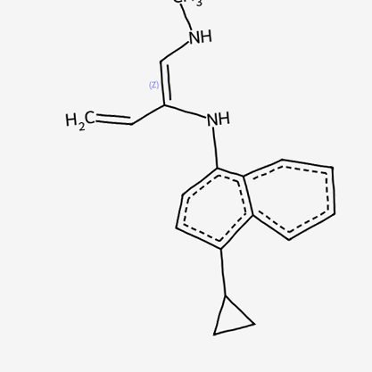 C=C/C(=C/NC)Nc1ccc(C2CC2)c2ccccc12